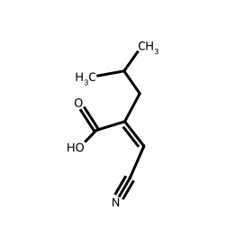 CC(C)CC(=CC#N)C(=O)O